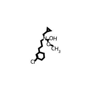 CCOC(O)N(CCCC1C=C(Cl)CCC1)CC1CC1